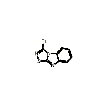 CCc1nsc2nc3ccccc3n12